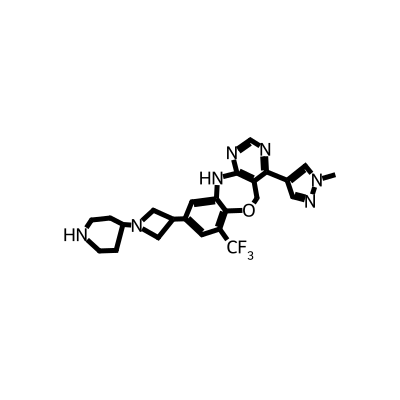 Cn1cc(-c2ncnc3c2COc2c(cc(C4CN(C5CCNCC5)C4)cc2C(F)(F)F)N3)cn1